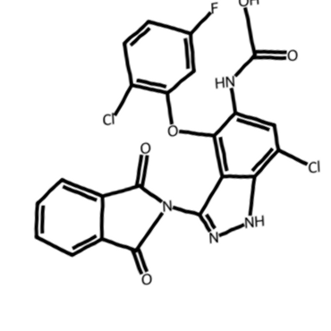 O=C(O)Nc1cc(Cl)c2[nH]nc(N3C(=O)c4ccccc4C3=O)c2c1Oc1cc(F)ccc1Cl